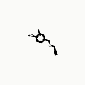 C#CCOCc1ccc(O)c(C)c1